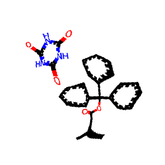 C=C(C)C(=O)OC(c1ccccc1)(c1ccccc1)c1ccccc1.O=c1[nH]c(=O)[nH]c(=O)[nH]1